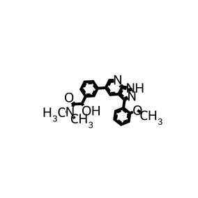 COc1ccccc1-c1n[nH]c2ncc(-c3cccc(C(O)C(=O)N(C)C)c3)cc12